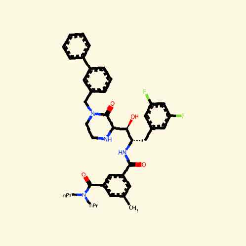 CCCN(CCC)C(=O)c1cc(C)cc(C(=O)N[C@@H](Cc2cc(F)cc(F)c2)[C@H](O)C2NCCN(Cc3cccc(-c4ccccc4)c3)C2=O)c1